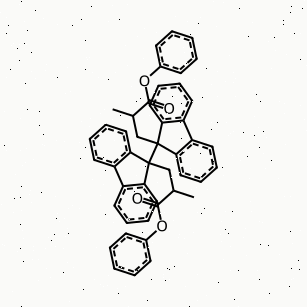 CC(CC1(C2(CC(C)C(=O)Oc3ccccc3)c3ccccc3-c3ccccc32)c2ccccc2-c2ccccc21)C(=O)Oc1ccccc1